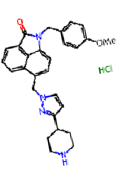 COc1ccc(CN2C(=O)c3cccc4c(Cn5ccc(C6CCNCC6)n5)ccc2c34)cc1.Cl